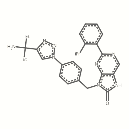 CCC(N)(CC)c1cn(-c2ccc(Cn3c(=O)[nH]c4cnc(-c5ccccc5C(C)C)nc43)cc2)nn1